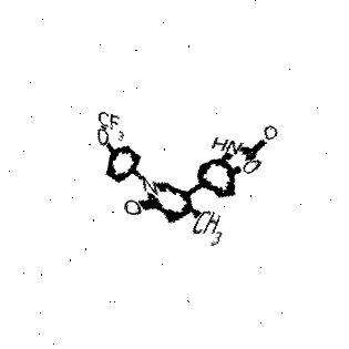 Cc1cc(=O)n(-c2ccc(OC(F)(F)F)cc2)cc1-c1ccc2oc(=O)[nH]c2c1